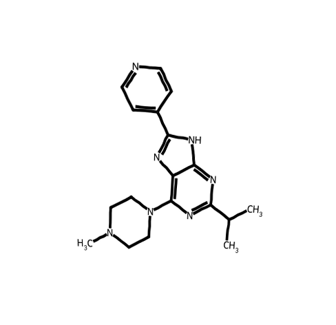 CC(C)c1nc(N2CCN(C)CC2)c2nc(-c3ccncc3)[nH]c2n1